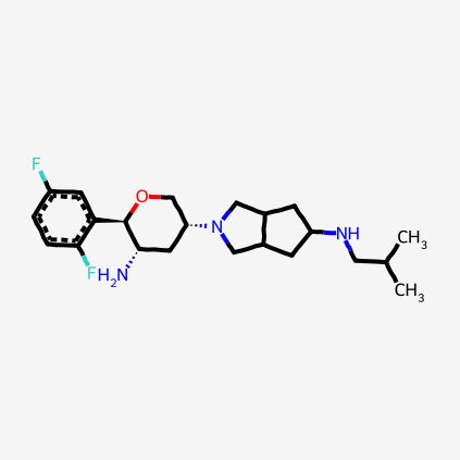 CC(C)CNC1CC2CN([C@H]3CO[C@H](c4cc(F)ccc4F)[C@@H](N)C3)CC2C1